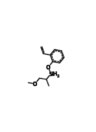 C=Cc1ccccc1O[SiH2]C(C)COC